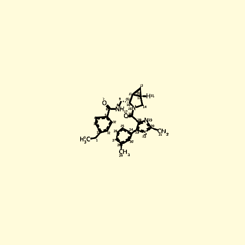 CCc1ccc(C(=O)NC[C@@H]2C3C[C@@H]3CN2C(=O)c2nc(C)sc2-c2cccc(C)c2)cc1